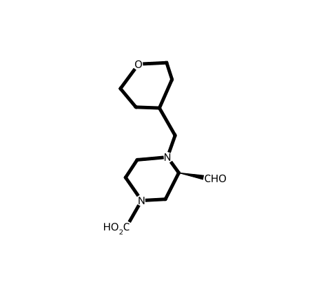 O=C[C@H]1CN(C(=O)O)CCN1CC1CCOCC1